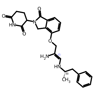 C[C@@H](Cc1ccccc1)N/C=C(\N)COc1cccc2c1CN(C1CCC(=O)NC1=O)C2=O